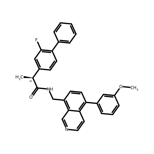 COc1cccc(-c2ccc(CNC(=O)[C@@H](C)c3ccc(-c4ccccc4)c(F)c3)c3cnccc23)c1